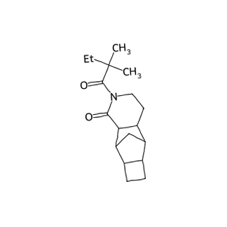 CCC(C)(C)C(=O)N1CCC2C3CC(C4CCC34)C2C1=O